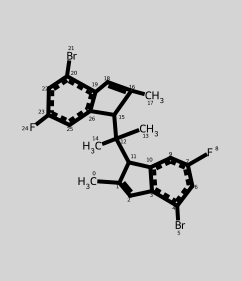 CC1=Cc2c(Br)cc(F)cc2C1C(C)(C)C1C(C)=Cc2c(Br)cc(F)cc21